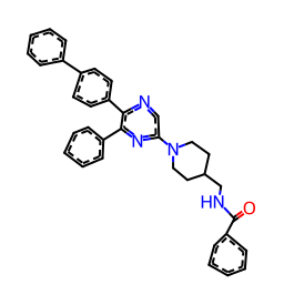 O=C(NCC1CCN(c2cnc(-c3ccc(-c4ccccc4)cc3)c(-c3ccccc3)n2)CC1)c1ccccc1